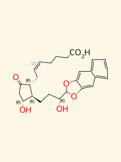 O=C(O)CCC/C=C\C[C@H]1C(=O)C[C@@H](O)[C@@H]1CC[C@@H](O)C1Oc2cc3ccccc3cc2O1